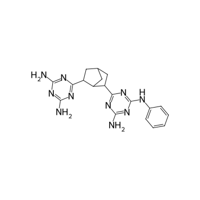 Nc1nc(N)nc(C2CC3CC(c4nc(N)nc(Nc5ccccc5)n4)C2C3)n1